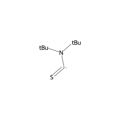 CC(C)(C)N([C]=S)C(C)(C)C